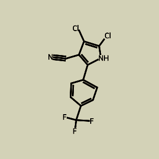 N#Cc1c(-c2ccc(C(F)(F)F)cc2)[nH]c(Cl)c1Cl